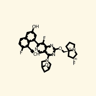 C#Cc1c(F)ccc2cc(O)cc(-c3ncc4c(N5CC6CC(C5)O6)nc(OC[C@@]56CCCN5C[C@H](F)C6)nc4c3F)c12